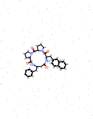 O=C1CC(Cc2ccccc2)NC(=O)C2CCCN2C(=O)C2CCCN2C(=O)C(Cc2ccc3ccccc3c2)N1